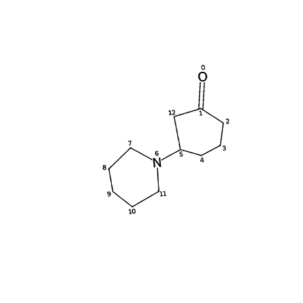 O=C1CCCC(N2CCCCC2)C1